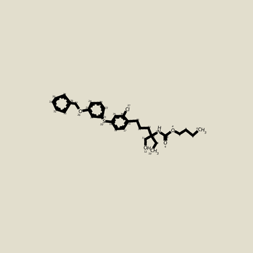 CCCCOC(=O)NC(CC)(CO)CCCc1ccc(Sc2cccc(OCc3ccccc3)c2)cc1Cl